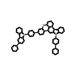 c1ccc(-c2ccc(-n3c4ccccc4c4c5cccc6c5c(cc43)-c3ccc(-c4ccc(-n5c7ccccc7c7cc(-c8ccccc8)ccc75)cc4)cc3S6)cc2)cc1